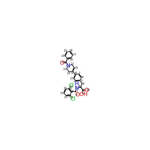 O=C(N[C@@H](Cc1ccc(C2=CCN(C(=O)c3ccccc3)CC2)cc1)C(=O)O)c1c(Cl)cccc1Cl